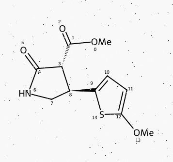 COC(=O)[C@H]1C(=O)NC[C@@H]1c1ccc(OC)s1